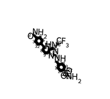 NC(=O)c1ccc(-c2ccc3nc(NCc4ccc(S(N)(=O)=O)cc4)nc(NCC(F)(F)F)c3n2)cc1